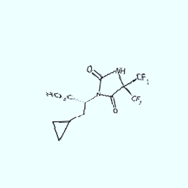 O=C(O)[C@@H](CC1CC1)N1C(=O)NC(C(F)(F)F)(C(F)(F)F)C1=O